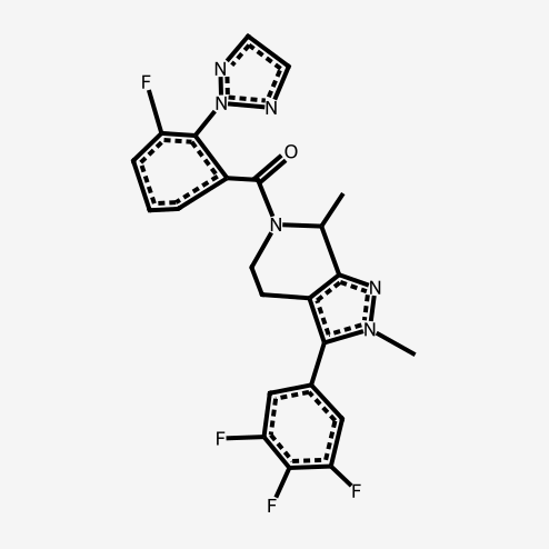 CC1c2nn(C)c(-c3cc(F)c(F)c(F)c3)c2CCN1C(=O)c1cccc(F)c1-n1nccn1